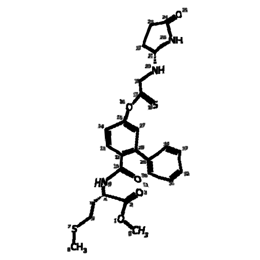 COC(=O)[C@H](CCSC)NC(=O)c1ccc(OC(=S)CN[C@@H]2CCC(=O)N2)cc1-c1ccccc1